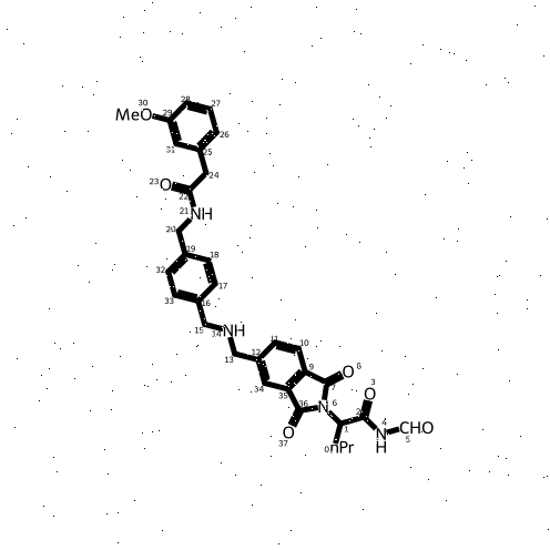 CCCC(C(=O)NC=O)N1C(=O)c2ccc(CNCc3ccc(CNC(=O)Cc4cccc(OC)c4)cc3)cc2C1=O